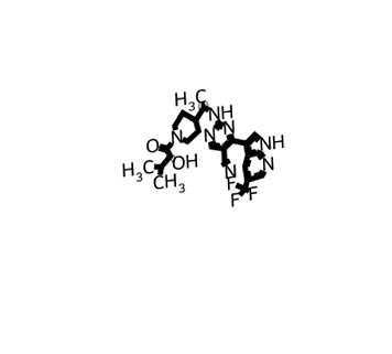 CC(C)[C@@H](O)C(=O)N1CCC([C@@H](C)Nc2ncc(C#N)c(-c3c[nH]c4ncc(C(F)(F)F)cc34)n2)CC1